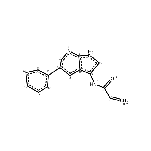 C=CC(=O)Nc1c[nH]c2ncc(-c3ccccc3)cc12